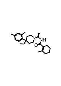 C=C(NC(=O)C1=C(C)CCCC1)N1CCC(CC)(c2ccc(C)cc2C)CC1